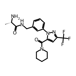 C[C@H](N)C(=O)NCc1cccc(-n2nc(C(F)(F)F)cc2C(=O)N2CCCCC2)c1